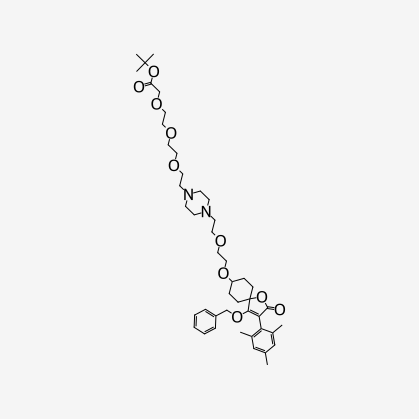 Cc1cc(C)c(C2=C(OCc3ccccc3)C3(CCC(OCCOCCN4CCN(CCOCCOCCOCC(=O)OC(C)(C)C)CC4)CC3)OC2=O)c(C)c1